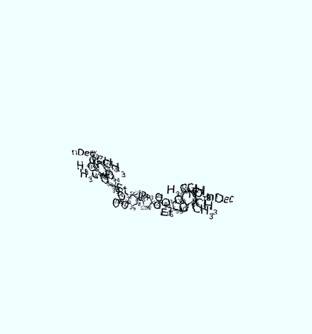 CCCCCCCCCCCON1C(C)(C)CC2(CC1(C)C)OCC(CC)(COC(=O)OC1CCC(C3(C(C)C)CCC(OC(=O)OCC4(CC)COC5(CC(C)(C)N(OCCCCCCCCCCC)C(C)(C)C5)OC4)CC3)CC1)CO2